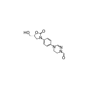 O=CN1CCN(c2ccc(N3C[C@H](CO)OC3=O)cc2)C=N1